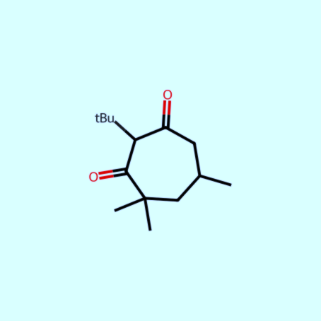 CC1CC(=O)C(C(C)(C)C)C(=O)C(C)(C)C1